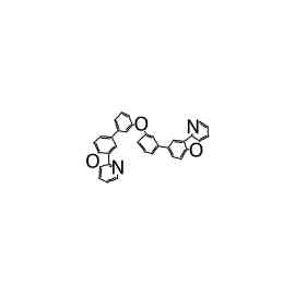 c1cc(Oc2cccc(-c3ccc4oc5cccnc5c4c3)c2)cc(-c2ccc3oc4cccnc4c3c2)c1